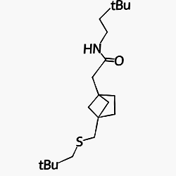 CC(C)(C)CCNC(=O)CC12CCC(CSCC(C)(C)C)(C1)C2